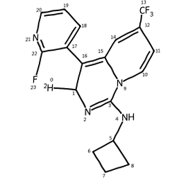 [2H]C1N=C(NC2CCC2)N2C=CC(C(F)(F)F)=CC2=C1c1cccnc1F